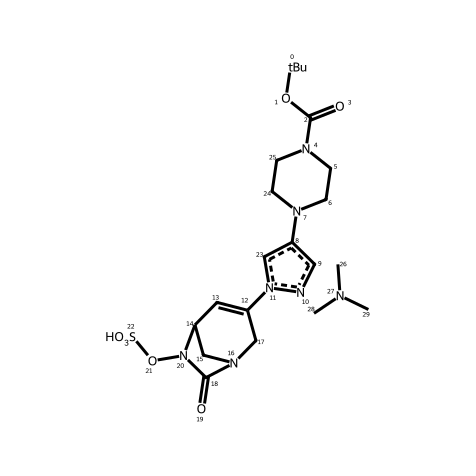 CC(C)(C)OC(=O)N1CCN(c2cnn(C3=CC4CN(C3)C(=O)N4OS(=O)(=O)O)c2)CC1.CN(C)C